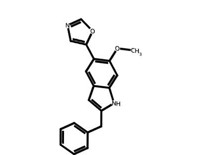 COc1cc2[nH]c(Cc3ccccc3)cc2cc1-c1cnco1